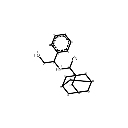 N#CC(NC(CO)c1ccccc1)C12CC3CC(CC(C3)C1)C2